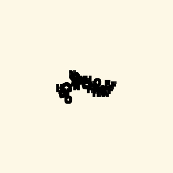 N[N+]12C=CN=CC1=C([C@@H]1CC[C@H]3CCC(=O)N3C1)N=C2c1ccc(C(=O)Nc2cc(C(F)(F)F)n[nH]2)cc1